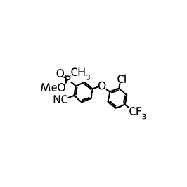 COP(C)(=O)c1cc(Oc2ccc(C(F)(F)F)cc2Cl)ccc1C#N